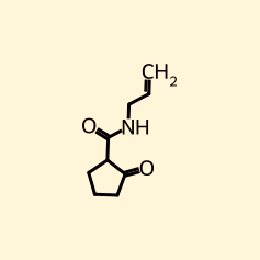 C=CCNC(=O)C1CCCC1=O